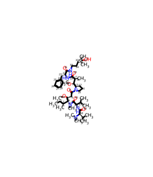 CC[C@@H](C)[C@H]([C@H](CC(=O)N1CCC[C@@H]1[C@H](OC)[C@H](C)C(=O)N[C@H](Cc1ccccc1)C(=O)NCCC[Si](C)(C)O)OC)N(C)C(=O)[C@H](NC(=O)[C@@H](C(C)C)N(C)C)C(C)C